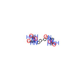 COC[C@H]1C[C@@H](C2Nc3ccc4cc(-c5ccc6c(c5)OCc5nc([C@@H]7CCCN7C(=O)[C@@H](NOC)C(C)C)[nH]c5-6)ccc4c3N2)N(C(=O)[C@@H](NOC)C(C)C)C1